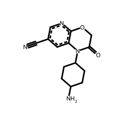 N#Cc1cnc2c(c1)N(C1CCC(N)CC1)C(=O)CO2